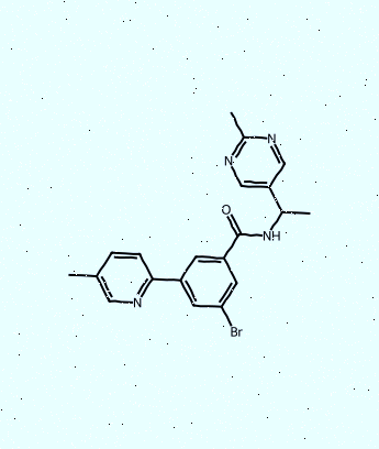 Cc1ccc(-c2cc(Br)cc(C(=O)NC(C)c3cnc(C)nc3)c2)nc1